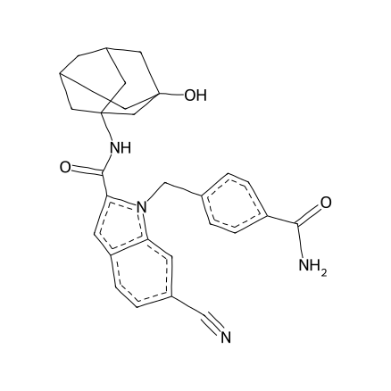 N#Cc1ccc2cc(C(=O)NC34CC5CC(CC(O)(C5)C3)C4)n(Cc3ccc(C(N)=O)cc3)c2c1